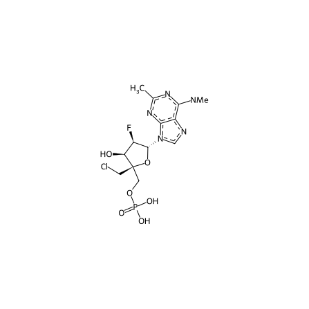 CNc1nc(C)nc2c1ncn2[C@@H]1O[C@](CCl)(COP(=O)(O)O)[C@@H](O)[C@H]1F